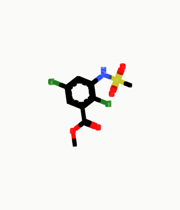 COC(=O)c1cc(Cl)cc(NS(C)(=O)=O)c1Cl